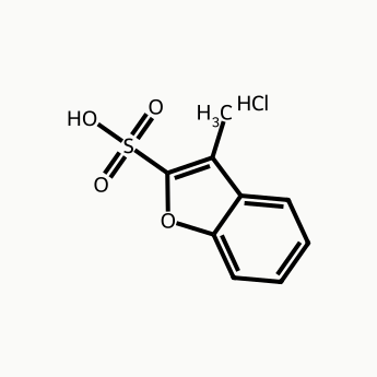 Cc1c(S(=O)(=O)O)oc2ccccc12.Cl